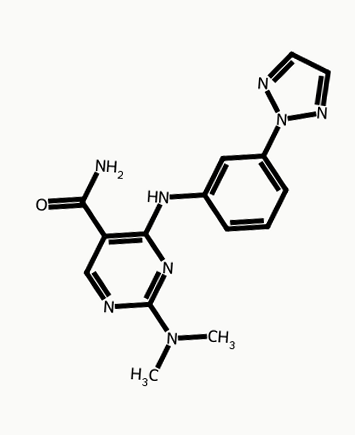 CN(C)c1ncc(C(N)=O)c(Nc2cccc(-n3nccn3)c2)n1